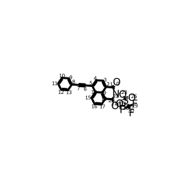 O=C1c2ccc(C#Cc3ccccc3)c3cccc(c23)C(O)N1OS(=O)(=O)C(F)(F)F